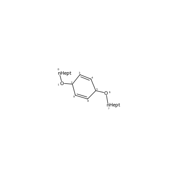 CCCCCCCOC1C=CC(OCCCCCCC)C=C1